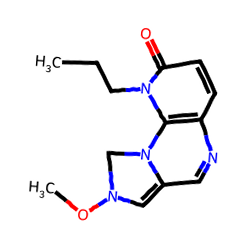 CCCn1c2c(ccc1=O)N=CC1=CN(OC)CN12